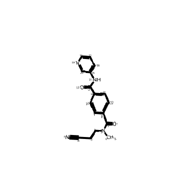 CN(CCC#N)C(=O)c1ccc(C(=O)Nc2cccnc2)cc1